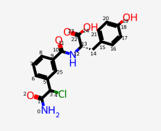 NC(=O)C(Cl)c1cccc(C(=O)N[C@@H](Cc2ccc(O)cc2)C(=O)O)c1